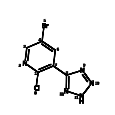 Clc1ncc(Br)cc1-c1nn[nH]n1